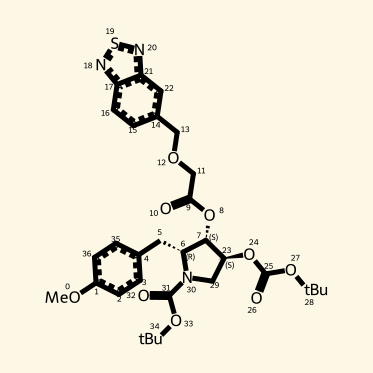 COc1ccc(C[C@@H]2[C@H](OC(=O)COCc3ccc4nsnc4c3)[C@@H](OC(=O)OC(C)(C)C)CN2C(=O)OC(C)(C)C)cc1